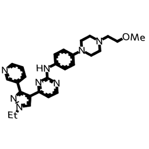 CCn1cc(-c2ccnc(Nc3ccc(N4CCN(CCOC)CC4)cc3)n2)c(-c2cccnc2)n1